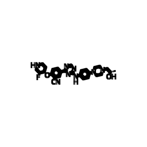 C[C@H](O)CN1CCN(c2ccc(Nc3ncnc(-c4ccc(O[C@H]5CCNC[C@@H]5F)c(C#N)c4)n3)cc2)CC1